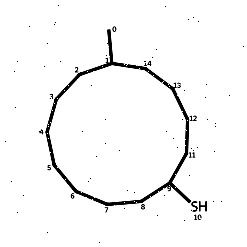 CC1CCCCCCCC(S)CCCC1